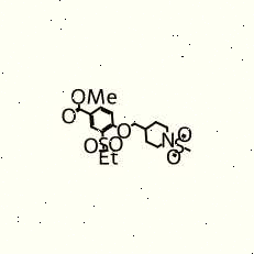 CCS(=O)(=O)c1cc(C(=O)OC)ccc1OCC1CCN(S(C)(=O)=O)CC1